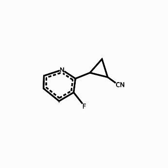 N#CC1CC1c1ncc[c]c1F